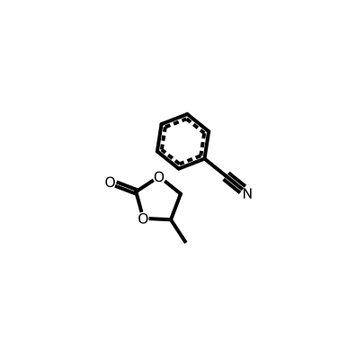 CC1COC(=O)O1.N#Cc1ccccc1